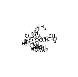 COC(=O)/C(C)=C\CC1(O)C(=O)CCC(C(C)C)C12Oc1c(CC=C(C)C)c3c(c(OCCN4CCN(C)CC4)c1C1=C2C(C)C2=C(c4ccccc4C2=O)N1CCN)C=CC(C)(CCC=C(C)C)O3